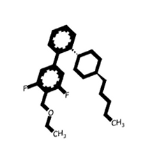 CCCCC[C@H]1CC[C@H](c2ccccc2-c2cc(F)c(COCC)c(F)c2)CC1